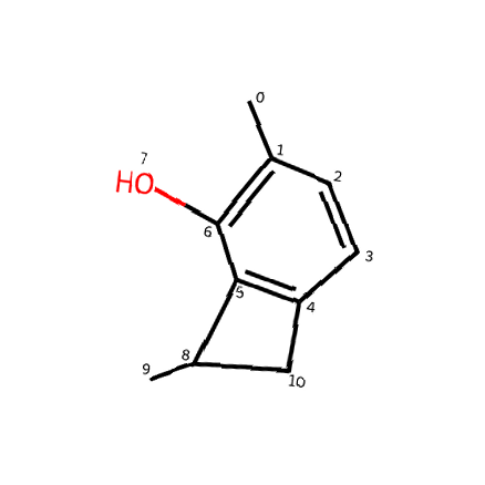 Cc1ccc2c(c1O)C(C)C2